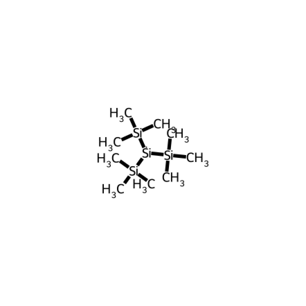 C[Si](C)(C)[Si]([Si](C)(C)C)[Si](C)(C)C